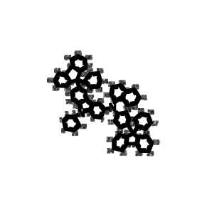 c1ccc(-n2c3ccc(N(c4ccc(C5(c6ccccc6)c6ccccc6-c6ccccc65)cc4)c4cccc5ccccc45)cc3c3cc(C4(c5ccccc5)c5ccccc5-c5ccccc54)ccc32)cc1